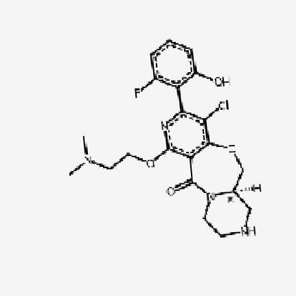 CN(C)CCOc1nc(-c2c(O)cccc2F)c(Cl)c2c1C(=O)N1CCNC[C@@H]1CO2